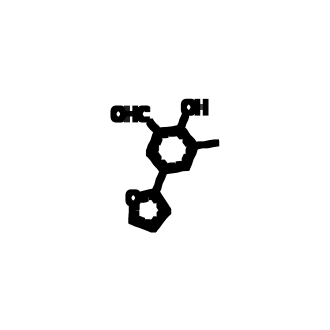 Cc1cc(-c2ccco2)cc(C=O)c1O